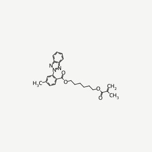 C=C(C)C(=O)OCCCCCCOC(=O)c1ccc(C)cc1-n1nc2ccccc2n1